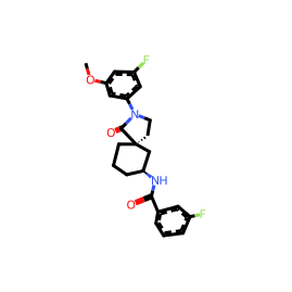 COc1cc(F)cc(N2CC[C@]3(CCC[C@H](NC(=O)c4cccc(F)c4)C3)C2=O)c1